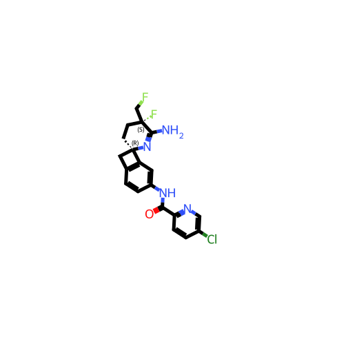 NC1=N[C@]2(CC[C@@]1(F)CF)Cc1ccc(NC(=O)c3ccc(Cl)cn3)cc12